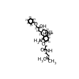 CN(C)CCNC(=O)COc1ccc2c(c1N)CC(C[C@H](O)COc1ccccc1)CCC2.Cl.Cl